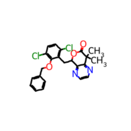 CC1(C)C(=O)OC(Cc2c(Cl)ccc(Cl)c2OCc2ccccc2)c2nccnc21